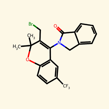 CC1(C)Oc2ccc(C(F)(F)F)cc2C(N2Cc3ccccc3C2=O)=C1CBr